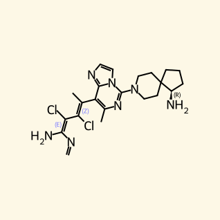 C=N/C(N)=C(Cl)\C(Cl)=C(/C)c1c(C)nc(N2CCC3(CCC[C@H]3N)CC2)n2ccnc12